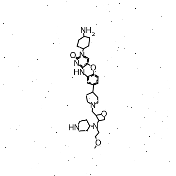 COCCN(C1CCNCC1)C1COC1CN1CCC(c2ccc3c(c2)Nc2nc(=O)n(C4CCC(N)CC4)cc2O3)CC1